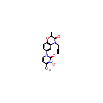 C#CCN1C(=O)C(C)Oc2ccc(-n3ccc(C(F)(F)F)[n+]([O-])c3=O)cc21